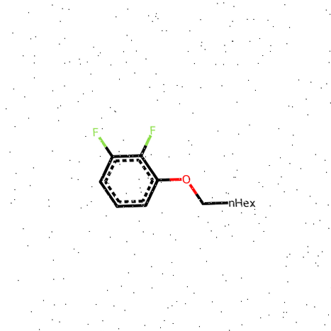 CCCCCCCOc1cccc(F)c1F